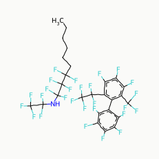 CCCCCCC(F)(F)C(F)(F)C(F)(F)NC(F)(F)C(F)(F)F.Fc1c(F)c(F)c(-c2c(C(F)(F)F)c(F)c(F)c(F)c2C(F)(F)C(F)(F)F)c(F)c1F